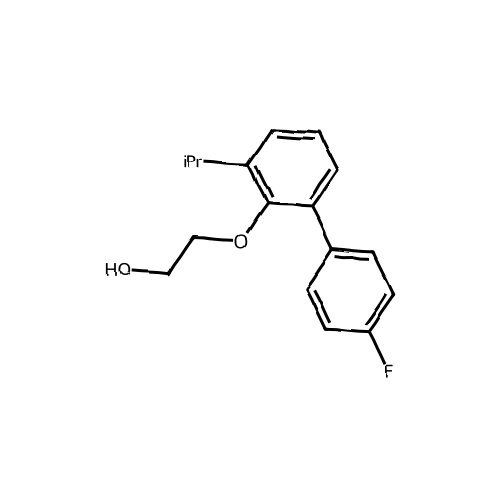 CC(C)c1cccc(-c2ccc(F)cc2)c1OCCO